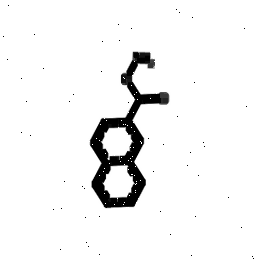 NOC(=O)c1ccc2ccccc2c1